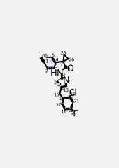 C#C/C=C\C(=C/C)C1(C(=O)Nc2ncc(Cc3ccc(F)cc3Cl)s2)CC1